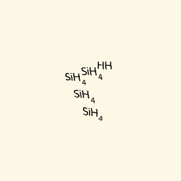 [HH].[SiH4].[SiH4].[SiH4].[SiH4]